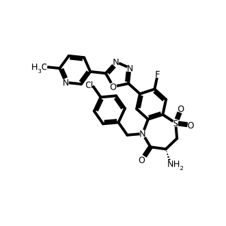 Cc1ccc(-c2nnc(-c3cc4c(cc3F)S(=O)(=O)C[C@H](N)C(=O)N4Cc3ccc(Cl)cc3)o2)cn1